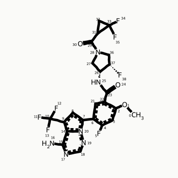 COc1cc(F)c(-c2cc(C(F)(F)F)c3c(N)ncnn23)cc1C(=O)N[C@@H]1CN(C(=O)C2CC2(F)F)C[C@@H]1F